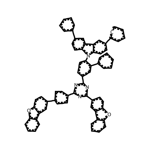 c1ccc(-c2ccc3c(c2)c2cc(-c4ccccc4)ccc2n3-c2ccc(-c3nc(-c4ccc(-c5ccc6oc7ccccc7c6c5)cc4)nc(-c4ccc5oc6ccccc6c5c4)n3)cc2-c2ccccc2)cc1